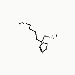 CCCCCCCCCCCC[N+]1(CC(=O)O)C=NCC1